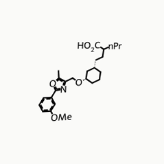 CCCC(CC[C@@H]1CCC[C@H](OCc2nc(-c3cccc(OC)c3)oc2C)C1)C(=O)O